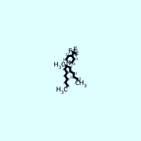 CCCCCCCC(C)(CCCCCC)N1CCC(C(F)(F)F)CC1